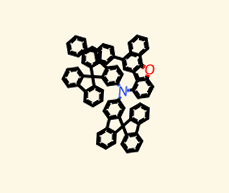 c1ccc(-c2ccc(-c3cc4c(oc5cccc(N(c6ccc7c(c6)C6(c8ccccc8-c8ccccc86)c6ccccc6-7)c6ccc7c(c6)C6(c8ccccc8-c8ccccc86)c6ccccc6-7)c54)c4ccccc34)cc2)cc1